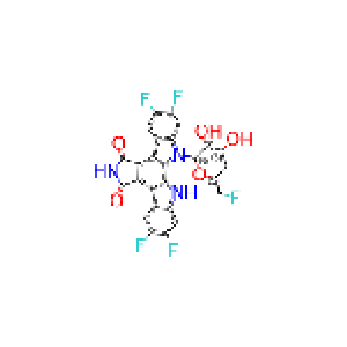 O=C1NC(=O)c2c1c1c3cc(F)c(F)cc3[nH]c1c1c2c2cc(F)c(F)cc2n1[C@@H]1O[C@H](CF)C[C@H](O)[C@H]1O